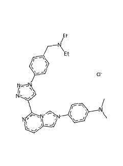 CCN(CC)Cc1ccc(-n2cc(-c3nccc4cn(-c5ccc(N(C)C)cc5)c[n+]34)nn2)cc1.[Cl-]